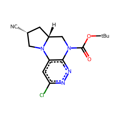 CC(C)(C)OC(=O)N1C[C@H]2C[C@@H](C#N)CN2c2cc(Cl)nnc21